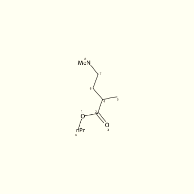 CCCOC(=O)C(C)CCNC